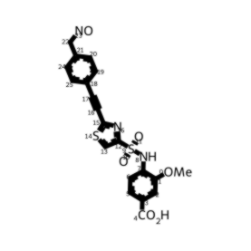 COc1cc(C(=O)O)ccc1NS(=O)(=O)c1csc(C#Cc2ccc(CN=O)cc2)n1